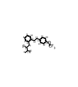 CC(F)C(F)Cc1ccccc1CCc1ccc(OC(F)(F)F)cc1